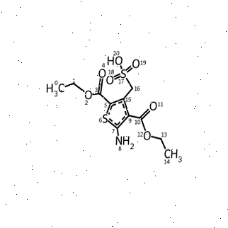 CCOC(=O)c1sc(N)c(C(=O)OCC)c1CS(=O)(=O)O